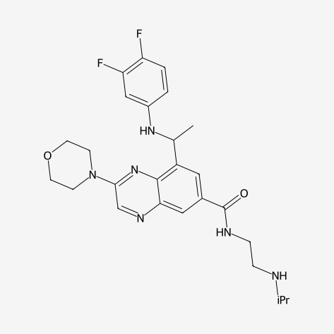 CC(C)NCCNC(=O)c1cc(C(C)Nc2ccc(F)c(F)c2)c2nc(N3CCOCC3)cnc2c1